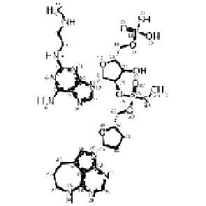 CNCCNc1nc(N)c2ncn([C@@H]3O[C@H](COP(=O)(O)S)[C@@H](O)[C@H]3OP(=O)(OC[C@@H]3CC[C@H](n4cc5c6c(ncnc64)NCCC5)O3)SC)c2n1